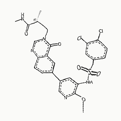 CNC(=O)[C@H](C)Cn1cnc2ccc(-c3cnc(OC)c(NS(=O)(=O)c4ccc(Cl)c(Cl)c4)c3)cc2c1=O